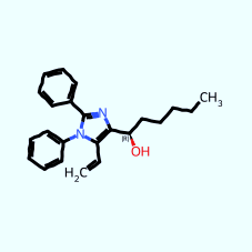 C=Cc1c([C@H](O)CCCCC)nc(-c2ccccc2)n1-c1ccccc1